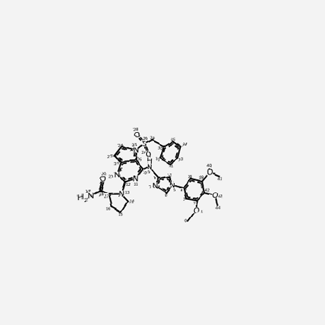 COc1cc(-n2cnc(Nc3nc(N4CCC[C@H]4C(N)=O)nc4ccn(S(=O)(=O)Cc5ccccc5)c34)c2)cc(OC)c1OC